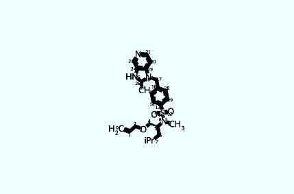 C=CCOC[C@H](CC(C)C)N(C)S(=O)(=O)c1ccc(CN2c3ccncc3NC2C)cc1